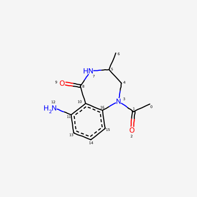 CC(=O)N1CC(C)NC(=O)c2c(N)cccc21